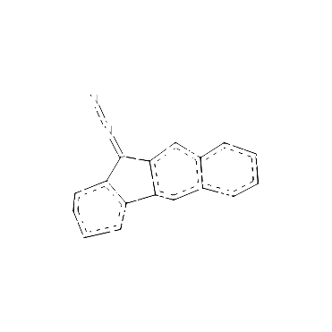 [N-]=[N+]=C1c2ccccc2-c2cc3ccccc3cc21